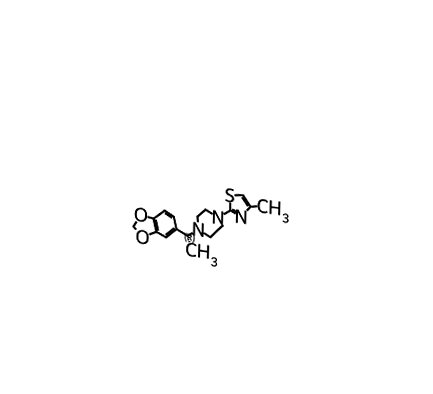 Cc1csc(N2CCN([C@H](C)c3ccc4c(c3)OCO4)CC2)n1